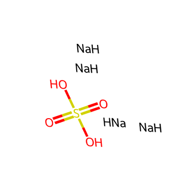 O=S(=O)(O)O.[NaH].[NaH].[NaH].[NaH]